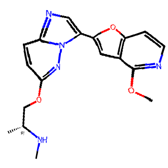 CN[C@H](C)COc1ccc2ncc(-c3cc4c(OC)nccc4o3)n2n1